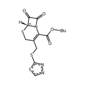 CC(C)(C)OC(=O)C1=C(CSc2nncs2)CS[C@@H]2C(=O)C(=O)N12